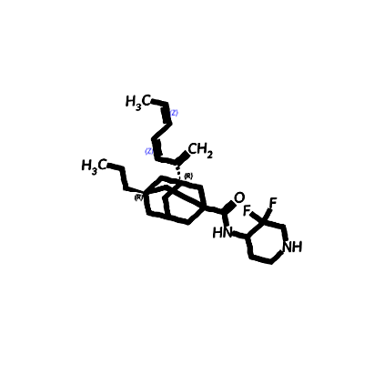 C=C(/C=C\C=C/C)[C@]12CC3CC(C(=O)NC4CCNCC4(F)F)(C[C@](CCC)(C3)C1)C2